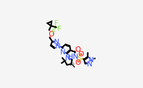 Cc1c(S(=O)(=O)NC(=O)c2ccc(-n3ccc(COCC4(C(F)(F)F)CC4)n3)nc2N2C[C@@H](C)CC2(C)C)cnn1C